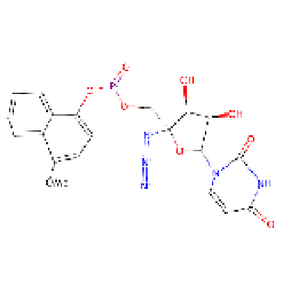 COc1ccc(O[P](=O)OC[C@@]2(N=[N+]=[N-])O[C@@H](n3ccc(=O)[nH]c3=O)[C@H](O)[C@@H]2O)c2ccccc12